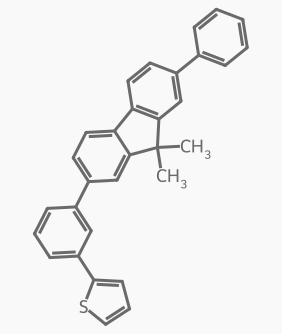 CC1(C)c2cc(-c3ccccc3)ccc2-c2ccc(-c3cccc(-c4cccs4)c3)cc21